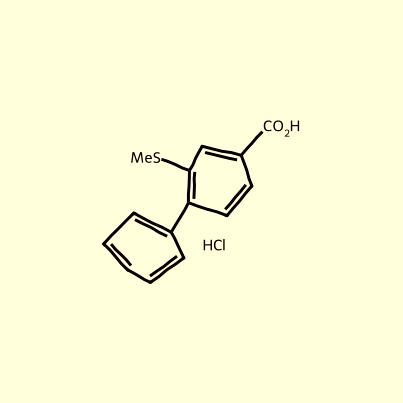 CSc1cc(C(=O)O)ccc1-c1ccccc1.Cl